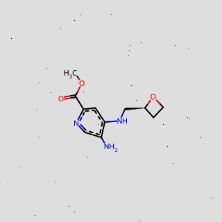 COC(=O)c1cc(NC[C@@H]2CCO2)c(N)cn1